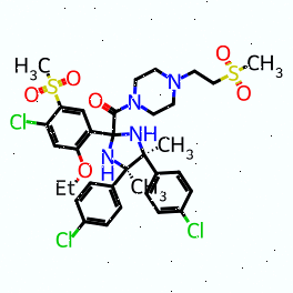 CCOc1cc(Cl)c(S(C)(=O)=O)cc1C1(C(=O)N2CCN(CCS(C)(=O)=O)CC2)N[C@@](C)(c2ccc(Cl)cc2)[C@@](C)(c2ccc(Cl)cc2)N1